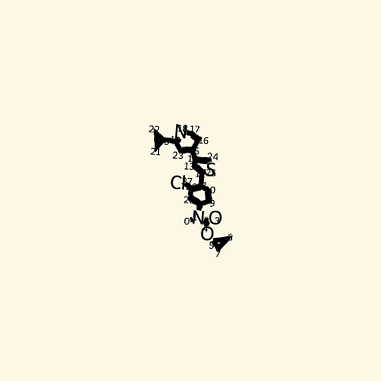 CN(C(=O)OC1CC1)c1ccc(-c2cc(-c3ccnc(C4CC4)c3)cs2)c(Cl)c1